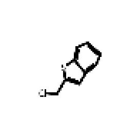 Cl[CH]c1cc2ccccc2s1